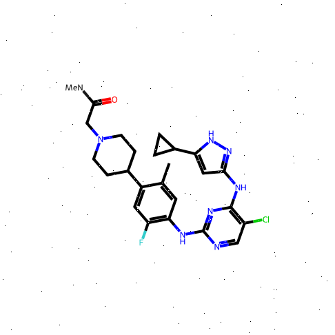 CNC(=O)CN1CCC(c2cc(F)c(Nc3ncc(Cl)c(Nc4cc(C5CC5)[nH]n4)n3)cc2C)CC1